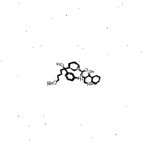 CNCC(NC(=O)N1CCCC(C(O)(CCCCOC)c2cccc(F)c2)C1)C(O)C1CCCCC1